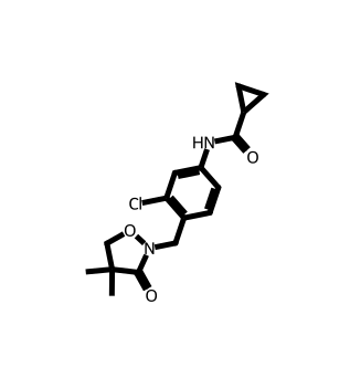 CC1(C)CON(Cc2ccc(NC(=O)C3CC3)cc2Cl)C1=O